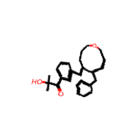 CC(C)(O)C(=O)c1cccc(CC2CCCOCCCC2Cc2ccccc2)c1